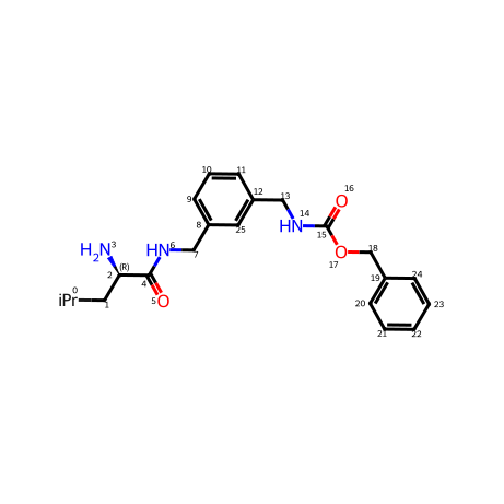 CC(C)C[C@@H](N)C(=O)NCc1cccc(CNC(=O)OCc2ccccc2)c1